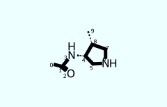 CC(=O)N[C@H]1CNC[C@H]1C